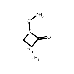 C[C@@H]1CN(OP)C1=O